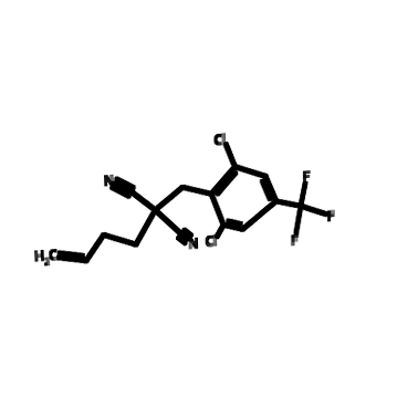 C=CCCC(C#N)(C#N)Cc1c(Cl)cc(C(F)(F)F)cc1Cl